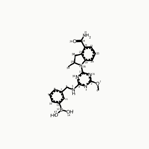 COc1nc(NCc2cccc(B(O)O)c2)nc(N2c3cccc(C(N)=O)c3CC2C)n1